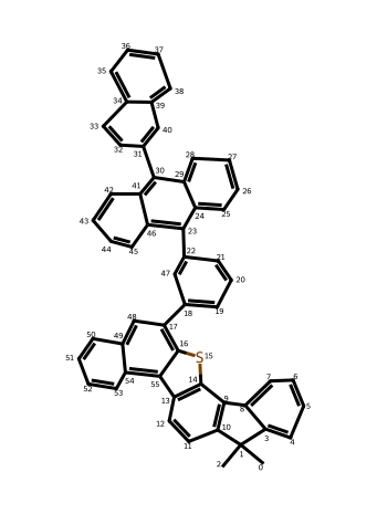 CC1(C)c2ccccc2-c2c1ccc1c2sc2c(-c3cccc(-c4c5ccccc5c(-c5ccc6ccccc6c5)c5ccccc45)c3)cc3ccccc3c21